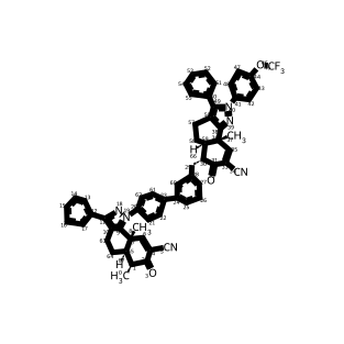 C[C@H]1C(=O)C(C#N)=C[C@@]2(C)c3c(c(-c4ccccc4)nn3-c3ccc(-c4cccc(C[C@H]5C(=O)C(C#N)=C[C@@]6(C)c7nn(-c8ccc(OC(F)(F)F)cc8)c(-c8ccccc8)c7CC[C@H]56)c4)cc3)CC[C@H]12